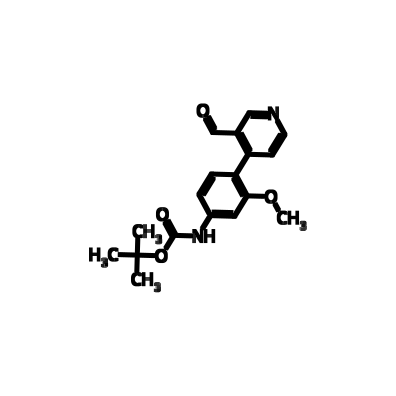 COc1cc(NC(=O)OC(C)(C)C)ccc1-c1ccncc1C=O